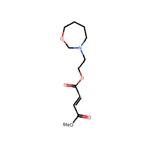 COC(=O)/C=C/C(=O)OCCN1CCCCOC1